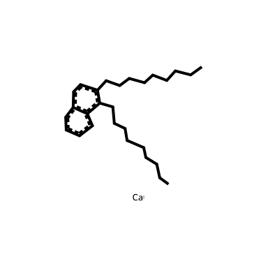 CCCCCCCCCc1ccc2ccccc2c1CCCCCCCCC.[Ca]